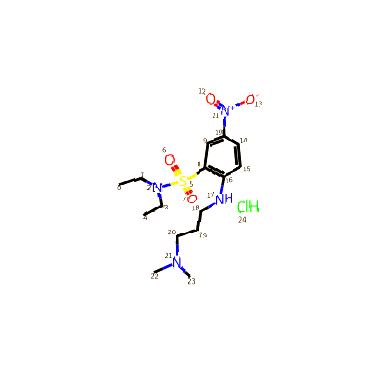 CCN(CC)S(=O)(=O)c1cc([N+](=O)[O-])ccc1NCCCN(C)C.Cl